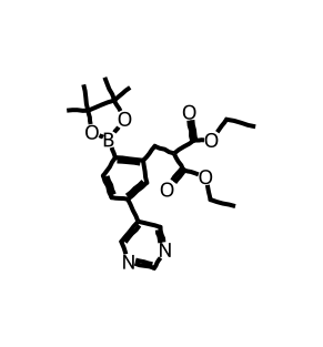 CCOC(=O)C(Cc1cc(-c2cncnc2)ccc1B1OC(C)(C)C(C)(C)O1)C(=O)OCC